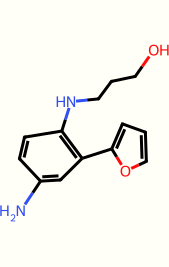 Nc1ccc(NCCCO)c(-c2ccco2)c1